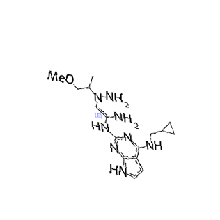 COCC(C)N(N)/C=C(\N)Nc1nc(NCC2CC2)c2cc[nH]c2n1